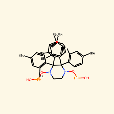 CC(C)(C)c1ccc(C2(c3ccc(C(C)(C)C)cc3C(C)(C)C)N(OPO)CCN(OPO)C2(c2ccc(C(C)(C)C)cc2C(C)(C)C)c2ccc(C(C)(C)C)cc2C(C)(C)C)c(C(C)(C)C)c1